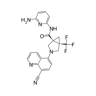 N#Cc1ccc(N2C[C@]3(C(=O)Nc4cccc(N)n4)C[C@]3(C(F)(F)F)C2)c2cccnc12